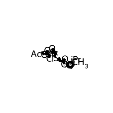 CC(=O)COC(=O)C(Cl)N1C(=O)C[C@@H]1SC=CC(=O)O[C@H]1CCC[C@](C)(C(C)C)C1